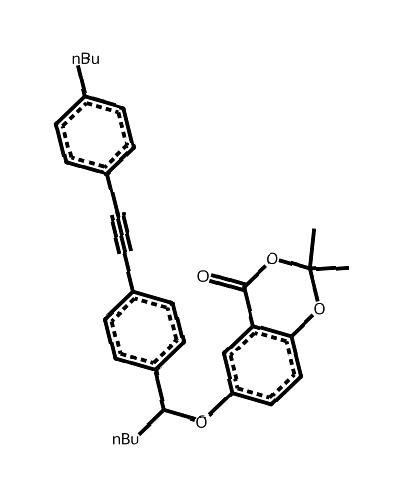 CCCCc1ccc(C#Cc2ccc(C(CCCC)Oc3ccc4c(c3)C(=O)OC(C)(C)O4)cc2)cc1